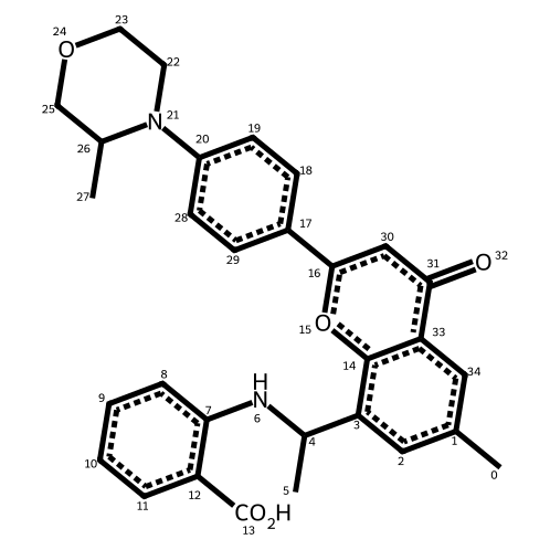 Cc1cc(C(C)Nc2ccccc2C(=O)O)c2oc(-c3ccc(N4CCOCC4C)cc3)cc(=O)c2c1